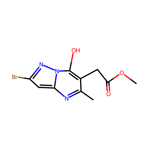 COC(=O)Cc1c(C)nc2cc(Br)nn2c1O